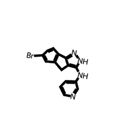 Brc1ccc2c(c1)Cc1c-2n[nH]c1Nc1cccnc1